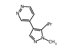 CC(C)c1c(-c2ccnnc2)cnn1C